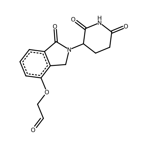 O=CCOc1cccc2c1CN(C1CCC(=O)NC1=O)C2=O